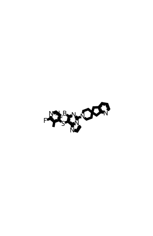 Bc1nc(N2CCC3(CC2)Cc2cccnc2C3)n2ccnc2c1Sc1ccnc(F)c1C